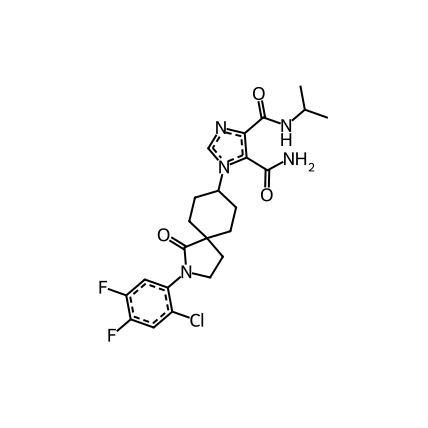 CC(C)NC(=O)c1ncn(C2CCC3(CC2)CCN(c2cc(F)c(F)cc2Cl)C3=O)c1C(N)=O